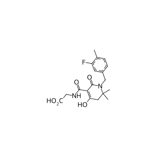 Cc1ccc(CN2C(=O)C(C(=O)NCC(=O)O)=C(O)CC2(C)C)cc1F